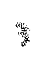 Cc1c2c(cc3nc(C(C)(C)C)oc13)N(C)C(=O)[C@@H](N1CCc3c(nn(Cc4ccccc4)c3Cl)C1=O)CO2